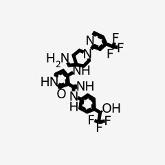 N=C(Nc1ccc([C@@H](O)C(F)(F)F)cc1)c1c(NC2(CN)CCN(c3cc(C(F)(F)F)ccn3)CC2)cc[nH]c1=O